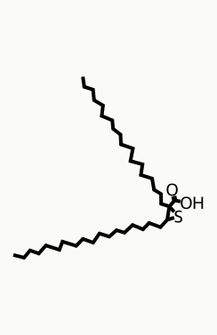 CCCCCCCCCCCCCCCCCCC1SC1(CCCCCCCCCCCCCCCCCC)C(=O)O